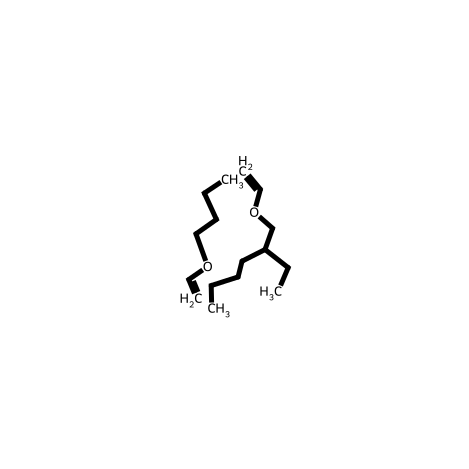 C=COCC(CC)CCCC.C=COCCCC